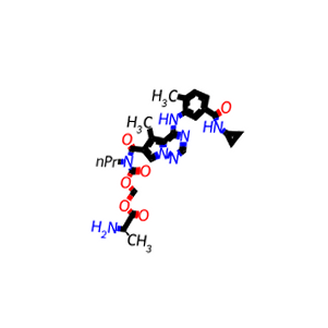 CCCN(C(=O)OCOC(=O)[C@H](C)N)C(=O)c1cn2ncnc(Nc3cc(C(=O)NC4CC4)ccc3C)c2c1C